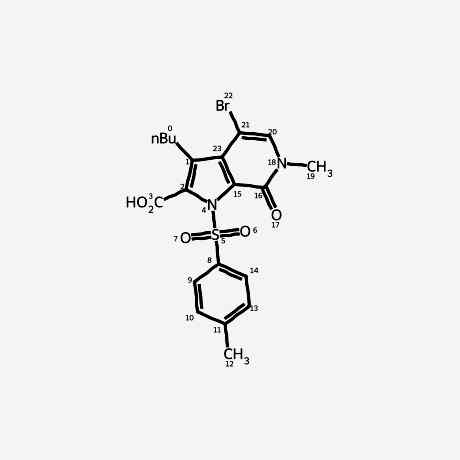 CCCCc1c(C(=O)O)n(S(=O)(=O)c2ccc(C)cc2)c2c(=O)n(C)cc(Br)c12